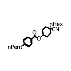 CCCCCC[C@]1(C#N)CC[C@@H](OC(=O)c2ccc(CCCCC)cc2)CC1